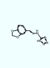 C(=NNc1nnn[nH]1)c1ccc2c(c1)OCO2